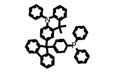 CC1(C)c2ccccc2N(c2ccccc2)c2ccc(C3(C4=CCC(P(c5ccccc5)c5ccccc5)C=C4)c4ccccc4-c4ccccc43)cc21